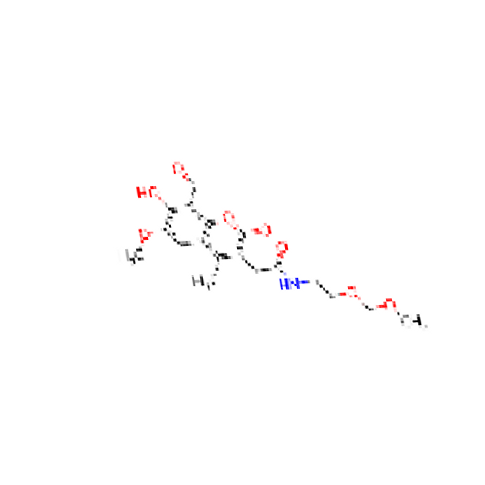 COCOCCNC(=O)Cc1c(C)c2cc(OC)c(O)c(C=O)c2oc1=O